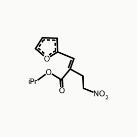 CC(C)OC(=O)C(=Cc1ccco1)CC[N+](=O)[O-]